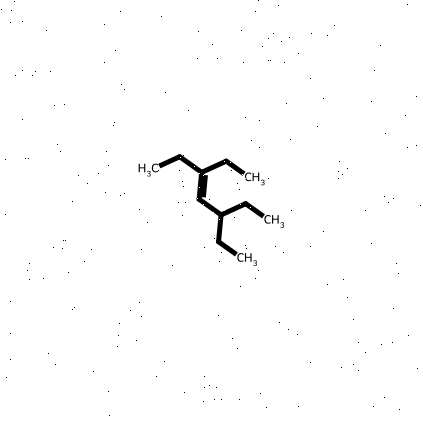 CCC(=CC(CC)CC)CC